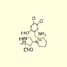 C[C@]1(C=O)CC(N2CCCC[C@]2(N)Cc2cc(Cl)c(Cl)cc2O)CN1